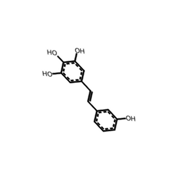 Oc1cccc(C=Cc2cc(O)c(O)c(O)c2)c1